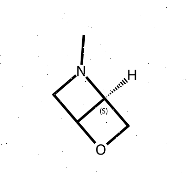 CN1CC2OC[C@@H]21